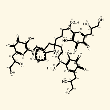 O=C1C(=O)C(O)=C(N(CCCC(CCCN(C(=O)O)C2=C(O)C(=O)C(=O)C(CC(O)CO)=N2)(CCCN(C(=O)O)C2=C(O)C(=O)C(=O)C(CC(O)CO)=N2)N(C(=O)O)c2ccccc2)C(=O)O)N=C1CC(O)CO